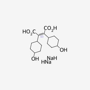 O=C(O)/C(=C(\C(=O)O)C1CCC(O)CC1)C1CCC(O)CC1.[NaH].[NaH]